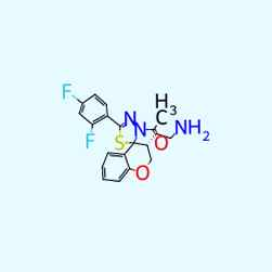 CC(=O)N1N=C(c2ccc(F)cc2F)S[C@@]12c1ccccc1OC[C@H]2CCN